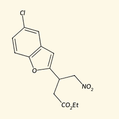 CCOC(=O)CC(C[N+](=O)[O-])c1cc2cc(Cl)ccc2o1